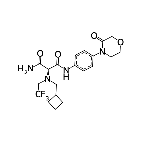 NC(=O)[C@@H](C(=O)Nc1ccc(N2CCOCC2=O)cc1)N(CC1CCC1)CC(F)(F)F